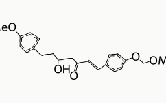 COCOc1ccc(C=CC(=O)CC(O)CCc2ccc(OC)cc2)cc1